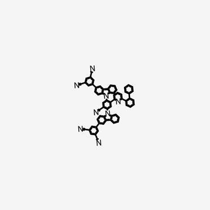 N#Cc1cc(C#N)cc(-c2ccc3c(c2)c2ccccc2n3-c2cc(-c3cccc(-c4ccccc4-c4ccccc4)n3)c(-n3c4ccccc4c4cc(-c5cc(C#N)cc(C#N)c5)ccc43)cc2C#N)c1